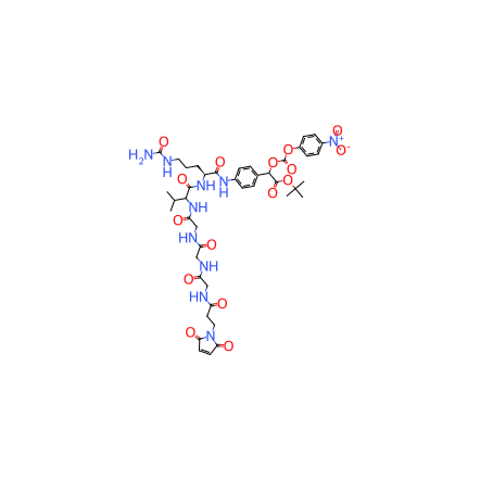 CC(C)[C@H](NC(=O)CNC(=O)CNC(=O)CNC(=O)CCN1C(=O)C=CC1=O)C(=O)N[C@@H](CCCNC(N)=O)C(=O)Nc1ccc(C(OC(=O)Oc2ccc([N+](=O)[O-])cc2)C(=O)OC(C)(C)C)cc1